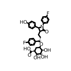 O=C(O)[C@H]1CC(O[C@@H](CCC2C(=O)N(c3ccc(F)cc3)C2c2ccc(O)cc2)c2ccc(F)cc2)[C@H](O)[C@@H](O)[C@@H]1O